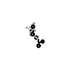 Cc1cc(Br)ccc1-n1cnc2ccc(N3CCN(CCC(c4ccccc4)c4ccccc4)CC3)cc2c1=O